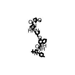 CO[C@H]1CCN(C(=O)c2cnc(Nc3cc(COc4ccc(NC(=O)Nc5cc(C(C)(C)C)nn5-c5ccc(C)cc5)c5ccccc45)ccn3)cn2)C1